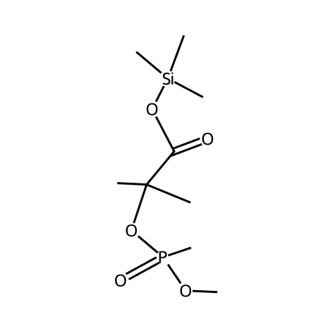 COP(C)(=O)OC(C)(C)C(=O)O[Si](C)(C)C